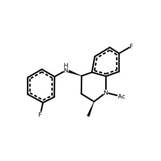 CC(=O)N1c2cc(F)ccc2[C@H](Nc2cccc(F)c2)C[C@@H]1C